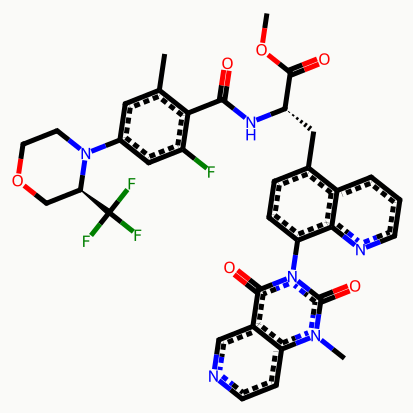 COC(=O)[C@H](Cc1ccc(-n2c(=O)c3cnccc3n(C)c2=O)c2ncccc12)NC(=O)c1c(C)cc(N2CCOC[C@@H]2C(F)(F)F)cc1F